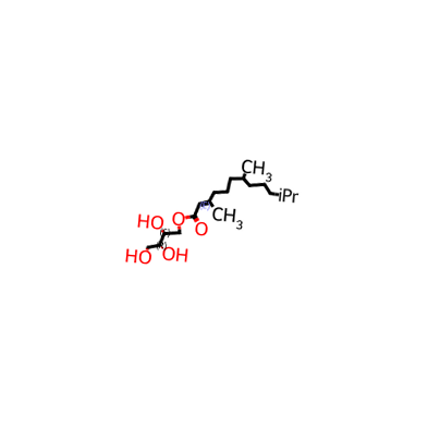 C/C(=C\C(=O)OC[C@H](O)[C@H](O)CO)CCCC(C)CCCC(C)C